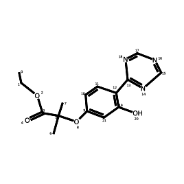 CCOC(=O)C(C)(C)Oc1ccc(-c2ncncn2)c(O)c1